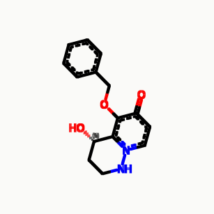 O=c1ccn2c(c1OCc1ccccc1)[C@@H](O)CCN2